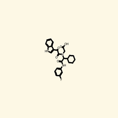 O=C(O)CN(C(=O)C(=O)c1c[nH]c2ccccc12)C(C(=O)Nc1cccc(F)c1)C1CCCCC1